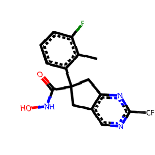 Cc1c(F)cccc1C1(C(=O)NO)Cc2cnc(C(F)(F)F)nc2C1